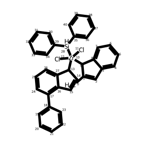 CC1=Cc2ccccc2[CH]1[Zr]([Cl])([Cl])([CH]1C=Cc2c(-c3ccccc3)cccc21)[SiH](c1ccccc1)c1ccccc1